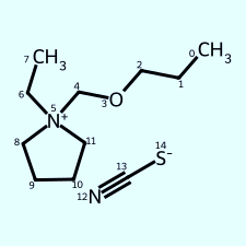 CCCOC[N+]1(CC)CCCC1.N#C[S-]